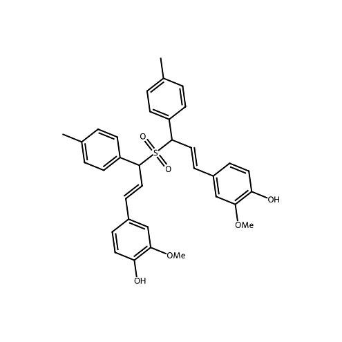 COc1cc(C=CC(c2ccc(C)cc2)S(=O)(=O)C(C=Cc2ccc(O)c(OC)c2)c2ccc(C)cc2)ccc1O